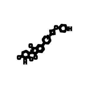 O=C1CCC(N2C(=O)c3ccc(C4CCN(C5CC(OC6CCNCC6)C5)CC4)cc3C2=O)C(=O)N1